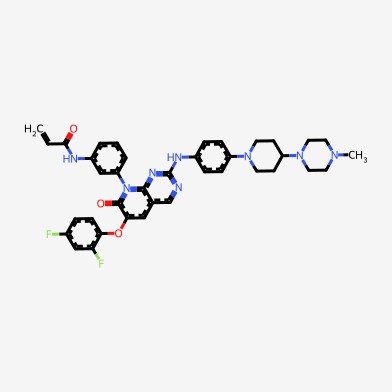 C=CC(=O)Nc1cccc(-n2c(=O)c(Oc3ccc(F)cc3F)cc3cnc(Nc4ccc(N5CCC(N6CCN(C)CC6)CC5)cc4)nc32)c1